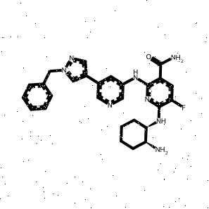 NC(=O)c1cc(F)c(N[C@@H]2CCCC[C@@H]2N)nc1Nc1cncc(-c2cnn(Cc3ccccc3)c2)c1